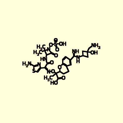 CC(ON=C(C(=O)NC1C(=O)N(OS(=O)(=O)O)C1(C)C)c1csc(N)n1)(C(=O)O)C1CCc2cc(C(=N)NC3CC(O)(CN)C3)ccc2O1